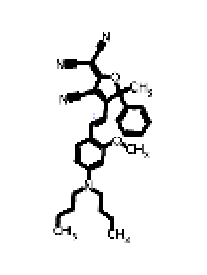 CCCCN(CCCC)c1ccc(/C=C/C2=C(C#N)C(=C(C#N)C#N)OC2(C)c2ccccc2)c(OC)c1